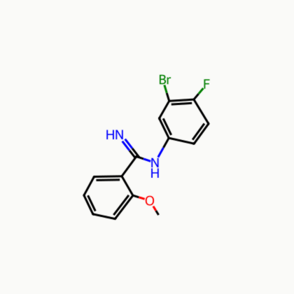 COc1ccccc1C(=N)Nc1ccc(F)c(Br)c1